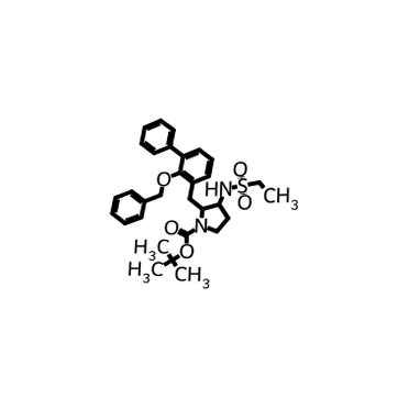 CCS(=O)(=O)NC1CCN(C(=O)OC(C)(C)C)C1Cc1cccc(-c2ccccc2)c1OCc1ccccc1